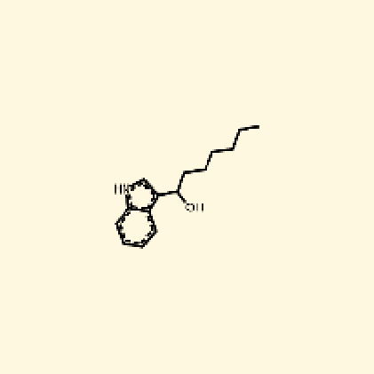 CCCCCCC(O)c1c[nH]c2ccccc12